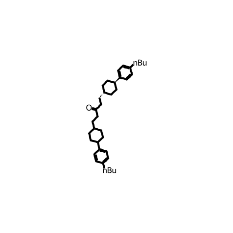 CCCCc1ccc(C2CCC(CCC(=O)CC[C@H]3CC[C@H](c4ccc(CCCC)cc4)CC3)CC2)cc1